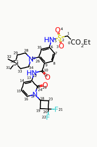 CCOC(=O)CS(=O)(=O)Nc1ccc(C(=O)Nc2cccn(C3CC(F)(F)C3)c2=O)c(N2CC[Si](C)(C)CC2)c1